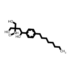 CCCCCCCCc1ccc(C(O)CC(CO)(CO)NCl)cc1